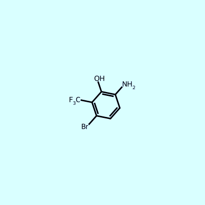 Nc1ccc(Br)c(C(F)(F)F)c1O